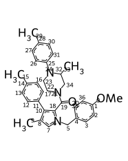 COc1ccc(Cn2cc(C)c(-c3ccc(C)cc3)c2C(=O)N2CCN(c3ccc(C)cc3)C(C)C2)cc1